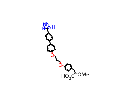 CO[C@@H](Cc1ccc(OCCCOc2ccc(-c3ccc(-c4nnn[nH]4)cc3)cc2)cc1)C(=O)O